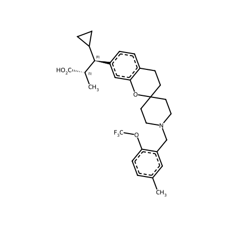 Cc1ccc(OC(F)(F)F)c(CN2CCC3(CCc4ccc([C@H](C5CC5)[C@H](C)C(=O)O)cc4O3)CC2)c1